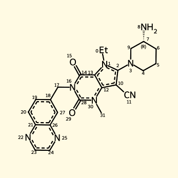 CCn1c(N2CCC[C@@H](N)C2)c(C#N)c2c1c(=O)n(Cc1ccc3nccnc3c1)c(=O)n2C